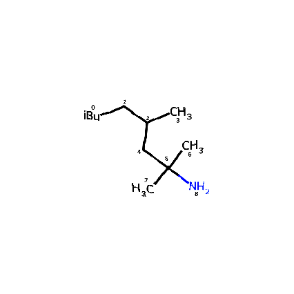 CCC(C)CC(C)CC(C)(C)N